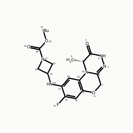 C[C@@H]1C(=O)NN=C2COc3cc(F)c(NC4CN(C(=O)OC(C)(C)C)C4)cc3N21